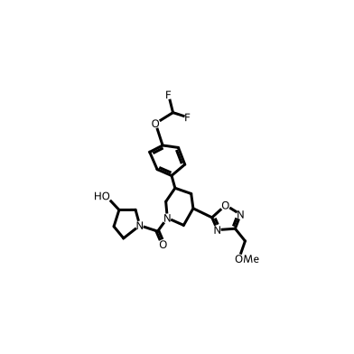 COCc1noc(C2CC(c3ccc(OC(F)F)cc3)CN(C(=O)N3CCC(O)C3)C2)n1